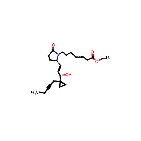 CCC#CCC1([C@H](O)C=C[C@H]2CCC(=O)N2CCCCCCC(=O)OC)CC1